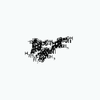 CC1C(CC2COC(C)(C)O2)Oc2c(N3CCN(C)CC3)c(F)cc3c(=O)c(C(=O)O)cn1c23.CC1COc2c(N3CCN(C)CC3)c(F)cc3c(=O)c(C(=O)OCC(O)CO)cn1c23.CC1COc2c(N3CCN(C)CC3)c(F)cc3c(=O)c(C(=O)OCC(O)CO)cn1c23.O=C(O)C(F)(F)F